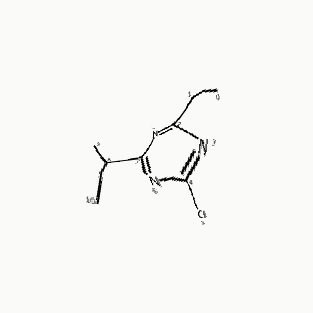 CCc1nc(Cl)nc(C(C)C)n1